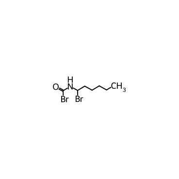 CCCCCC(Br)NC(=O)Br